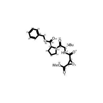 CCC(C)[C@H](NC(=O)C1OC1C(=O)OC)C(=O)N1CCC[C@H]1C(=O)OCc1ccccc1